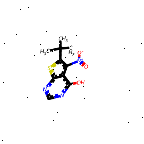 CC(C)(C)c1sc2ncnc(O)c2c1[N+](=O)[O-]